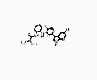 CN(C)C(=O)N[C@H]1CCCC[C@H]1Nc1nc(-c2c[nH]c3ncc(Cl)cc23)ncc1F